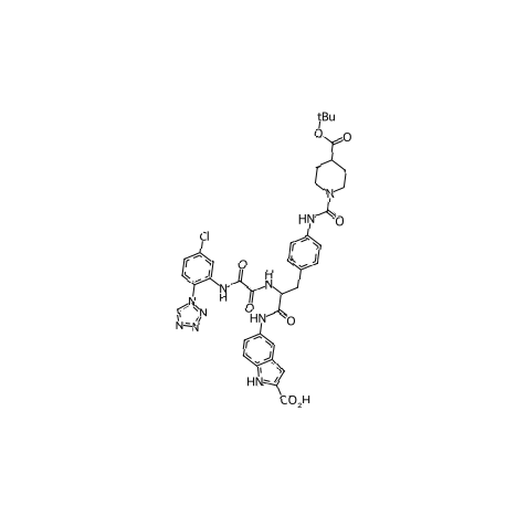 CC(C)(C)OC(=O)C1CCN(C(=O)Nc2ccc(CC(NC(=O)C(=O)Nc3cc(Cl)ccc3-n3cnnn3)C(=O)Nc3ccc4[nH]c(C(=O)O)cc4c3)cc2)CC1